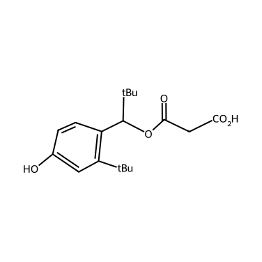 CC(C)(C)c1cc(O)ccc1C(OC(=O)CC(=O)O)C(C)(C)C